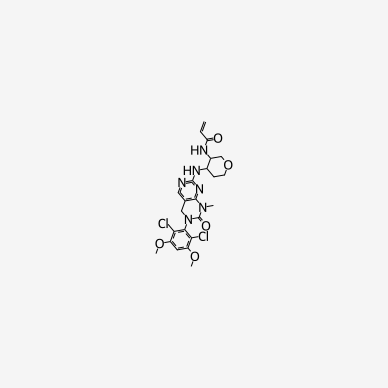 C=CC(=O)NC1COCCC1Nc1ncc2c(n1)N(C)C(=O)N(c1c(Cl)c(OC)cc(OC)c1Cl)C2